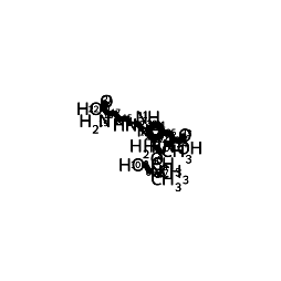 CC(N)=O.C[N+](C)(C)CCO.N=C(N)NCCCC(N)C(=O)O.NC(Cc1ccccc1)C(=O)O